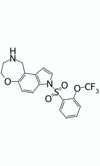 O=S(=O)(c1ccccc1OC(F)(F)F)n1ccc2c3c(ccc21)OCCNC3